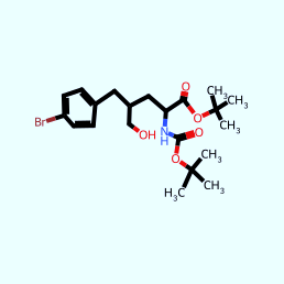 CC(C)(C)OC(=O)NC(CC(CO)Cc1ccc(Br)cc1)C(=O)OC(C)(C)C